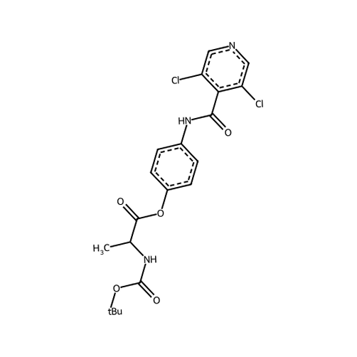 CC(NC(=O)OC(C)(C)C)C(=O)Oc1ccc(NC(=O)c2c(Cl)cncc2Cl)cc1